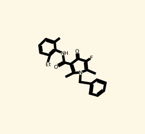 CCc1cccc(C)c1NC(=O)c1c(C)n(Cc2ccccc2)c(C)c(F)c1=O